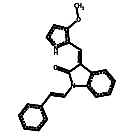 COc1cc[nH]c1/C=C1\C(=O)N(/C=C/c2ccccc2)c2ccccc21